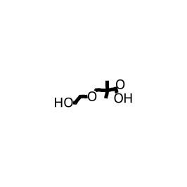 CC(C)(COCCO)C(=O)O